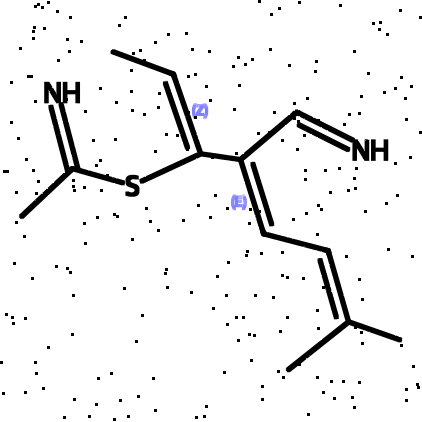 C/C=C(SC(C)=N)/C(C=N)=C/C=C(C)C